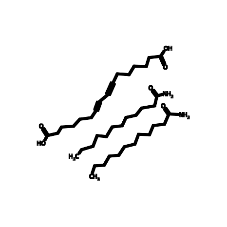 CCCCCCCCCCCC(N)=O.CCCCCCCCCCCC(N)=O.O=C(O)CCCCCC#CC#CCCCCCC(=O)O